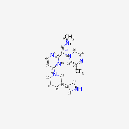 C=N/C=C(/c1nccc(N2CCCC(C3CNC3)C2)n1)N1C=C(C(F)(F)F)N=CC1